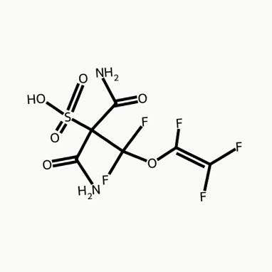 NC(=O)C(C(N)=O)(C(F)(F)OC(F)=C(F)F)S(=O)(=O)O